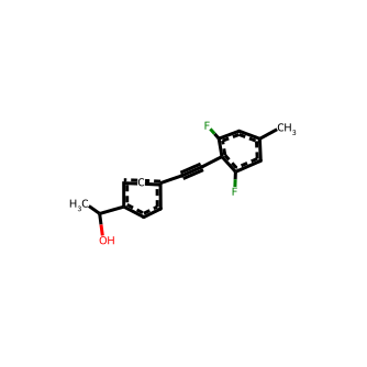 Cc1cc(F)c(C#Cc2ccc(C(C)O)cc2)c(F)c1